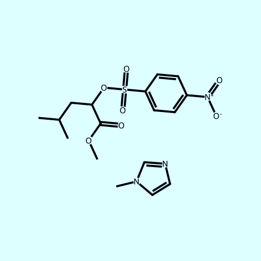 COC(=O)C(CC(C)C)OS(=O)(=O)c1ccc([N+](=O)[O-])cc1.Cn1ccnc1